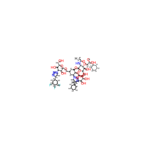 CC(=O)NC1C(O[C@@H](CC2CCCCC2)C(=O)O)[C@@H](O)C(CO)O[C@H]1O[C@@H]1CC(CO[C@H]2OC(CO)[C@@H](O)C(n3cc(-c4cc(F)c(F)c(F)c4)nn3)C2O)CC(n2cc(-c3ccccc3)nn2)C1O[C@@H]1OC(C)[C@@H](O)C(O)C1O